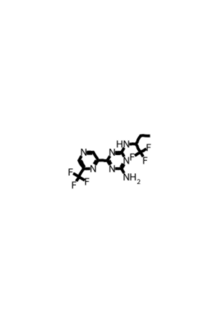 CCC(Nc1nc(N)nc(-c2cncc(C(F)(F)F)n2)n1)C(F)(F)F